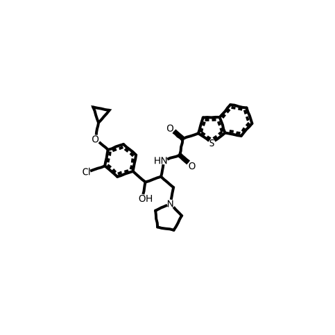 O=C(NC(CN1CCCC1)C(O)c1ccc(OC2CC2)c(Cl)c1)C(=O)c1cc2ccccc2s1